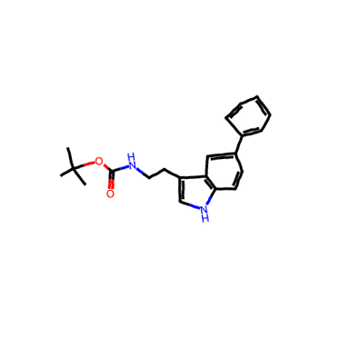 CC(C)(C)OC(=O)NCCc1c[nH]c2ccc(-c3ccccc3)cc12